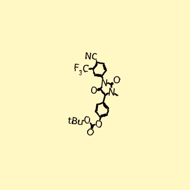 CN1C(=O)N(c2ccc(C#N)c(C(F)(F)F)c2)C(=O)C1c1ccc(OC(=O)OC(C)(C)C)cc1